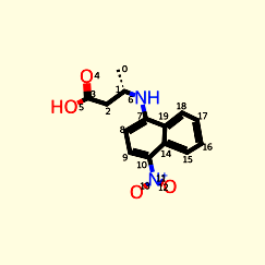 C[C@@H](CC(=O)O)Nc1ccc([N+](=O)[O-])c2ccccc12